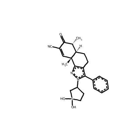 C[C@H]1C(=O)C(C#N)=C[C@@]2(C)c3nn(C4CCS(O)(O)C4)c(-c4ccccc4)c3CC[C@H]12